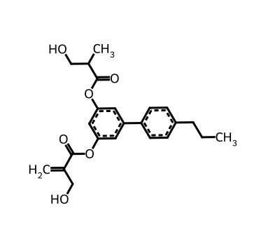 C=C(CO)C(=O)Oc1cc(OC(=O)C(C)CO)cc(-c2ccc(CCC)cc2)c1